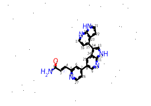 NC(=O)/C=C/c1cc(-c2cnc3[nH]cc(-c4ccnc5[nH]ccc45)c3c2)ccn1